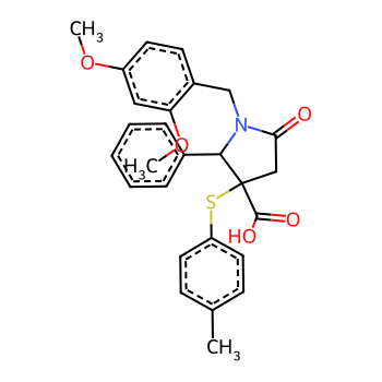 COc1ccc(CN2C(=O)CC(Sc3ccc(C)cc3)(C(=O)O)C2c2ccccc2)c(OC)c1